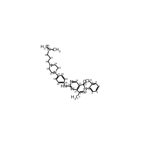 Cc1nn(-c2ccccc2Cl)c(=O)c2cnc(Nc3ccc(N4CCN(CCCN(C)C)CC4)cc3)nc12